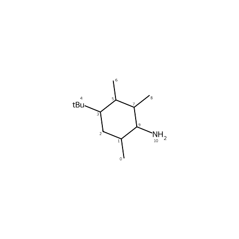 CC1CC(C(C)(C)C)C(C)C(C)C1N